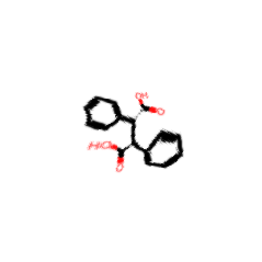 O=C(O)[C@H](c1ccccc1)[C@@H](C(=O)O)c1ccccc1